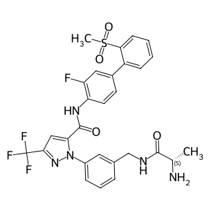 C[C@H](N)C(=O)NCc1cccc(-n2nc(C(F)(F)F)cc2C(=O)Nc2ccc(-c3ccccc3S(C)(=O)=O)cc2F)c1